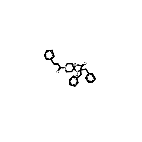 O=C(C=Cc1ccccc1)N1CCC2(CC1)NC(=O)C(Cc1ccccc1)(Cc1ccccc1)N2